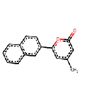 Cc1cc(-c2ccc3ccccc3c2)oc(=O)c1